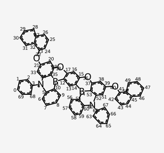 c1ccc(N2c3ccccc3B3c4cc5c(cc4Oc4cc(Oc6cccc7ccccc67)cc2c43)Oc2cc(Oc3cccc4ccccc34)cc3c2B5c2ccccc2N3c2ccccc2)cc1